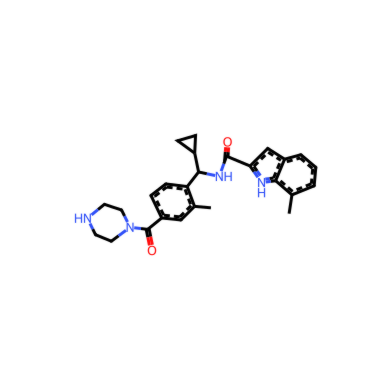 Cc1cc(C(=O)N2CCNCC2)ccc1C(NC(=O)c1cc2cccc(C)c2[nH]1)C1CC1